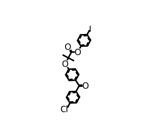 CC(C)(Oc1ccc(C(=O)c2ccc(Cl)cc2)cc1)C(=O)Oc1ccc(I)cc1